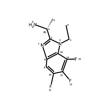 CCn1c([C@@H](C)N)nc2cc(F)c(F)c(F)c21